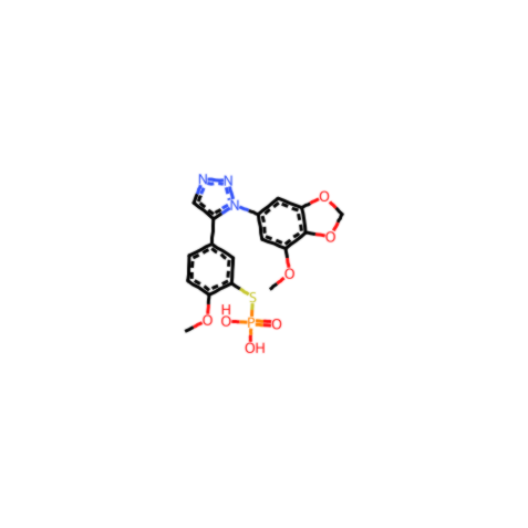 COc1ccc(-c2cnnn2-c2cc(OC)c3c(c2)OCO3)cc1SP(=O)(O)O